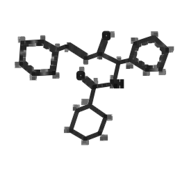 O=C(NC(C(=O)C=Cc1ccccc1)c1ccccc1)C1CCCCC1